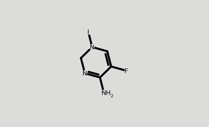 NC1=NCN(I)C=C1F